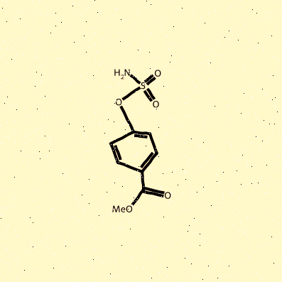 COC(=O)c1ccc(OS(N)(=O)=O)cc1